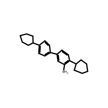 Bc1cc(-c2ccc(C3CCCCC3)cc2)ccc1C1CCCCC1